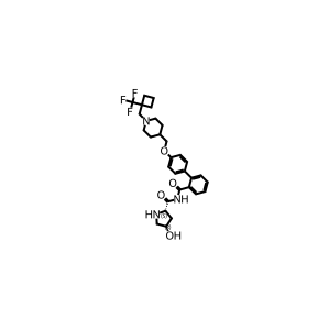 O=C(NC(=O)[C@@H]1C[C@@H](O)CN1)c1ccccc1-c1ccc(OCC2CCN(CC3(C(F)(F)F)CCC3)CC2)cc1